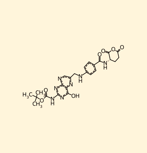 CC(C)(C)OC(=O)Nc1nc(O)c2nc(CNc3ccc(C(=O)N[C@H]4CCC(=O)OC4=O)cc3)cnc2n1